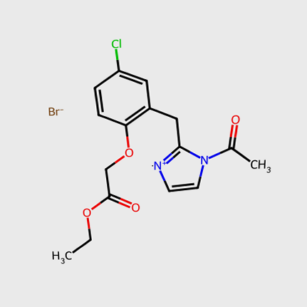 CCOC(=O)COc1ccc(Cl)cc1CC1=[N+]C=CN1C(C)=O.[Br-]